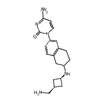 NC[C@H]1C[C@@H](NC2CCc3cc(-n4ccc(N)nc4=O)ccc3C2)C1